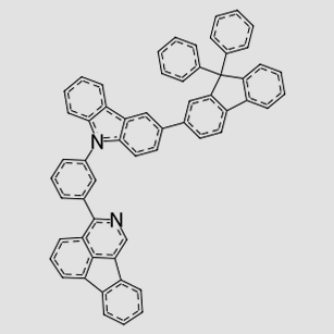 c1ccc(C2(c3ccccc3)c3ccccc3-c3ccc(-c4ccc5c(c4)c4ccccc4n5-c4cccc(-c5ncc6c7c(cccc57)-c5ccccc5-6)c4)cc32)cc1